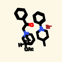 CC(=O)O[C@H]1C[N+]2(CC(=O)c3ccccc3)CCC1CC2.CC1CCN(c2ccccc2)CC1.[Br-]